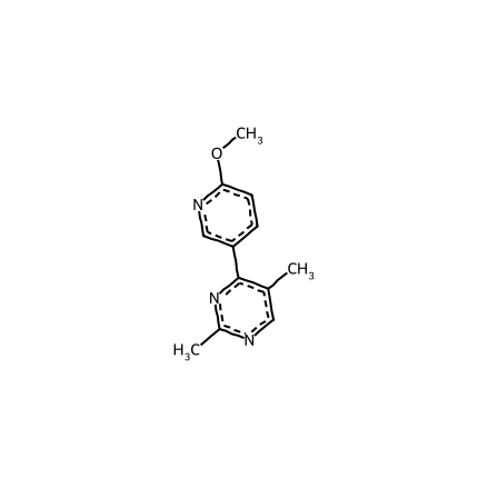 COc1ccc(-c2nc(C)ncc2C)cn1